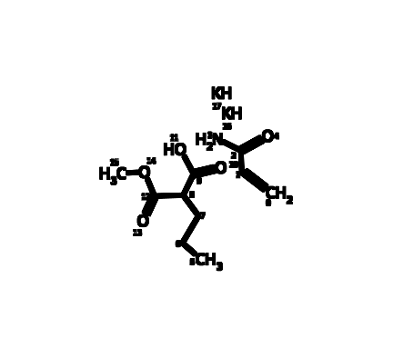 C=CC(N)=O.CCCC(C(=O)O)C(=O)OC.[KH].[KH]